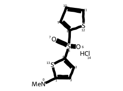 CNc1ccc(S(=O)(=O)c2cccs2)s1.Cl